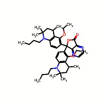 CCCCN1c2ccc(C3(c4ccc5c(c4OCC)C(C)CC(C)(C)N5CCCC)OC(=O)c4nccnc43)c(OCC)c2C(C)CC1(C)C